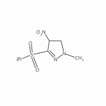 CC(C)S(=O)(=O)C1=NN(C)CC1[N+](=O)[O-]